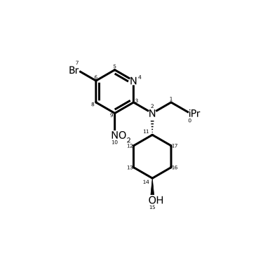 CC(C)CN(c1ncc(Br)cc1[N+](=O)[O-])[C@H]1CC[C@H](O)CC1